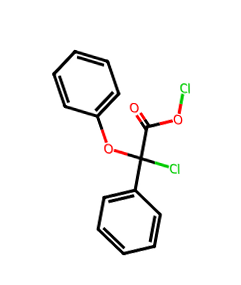 O=C(OCl)C(Cl)(Oc1ccccc1)c1ccccc1